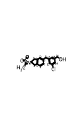 CC1N([C@H]2Cc3ccc(Cc4cc(Cl)cc(CO)c4)cc3C2)S1(=O)=O